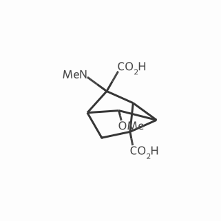 CNC1(C(=O)O)C2CC3(C(=O)O)C(C2OC)C31